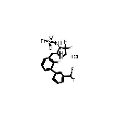 CCS(=O)(=O)N[C@@H]1[C@H](Cc2cccc(-c3cccc(C(F)F)c3)c2F)NCC1(F)F.Cl